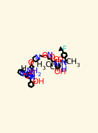 CC(C)[C@@H](C(=O)N1C[C@H](O)C[C@H]1C(=O)N[C@@H](C)c1ccc(C2(F)CC2)cc1)c1cc(OCCN2CCC(OC3CC(Oc4cc(N5C6CC[C@@H]5CN(c5cc(-c7ccccc7O)nnc5N)C6)ccn4)C3)CC2)no1